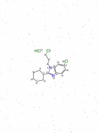 Cl.ClCCCn1c(C2CCCCC2)nc2ccc(Cl)cc21